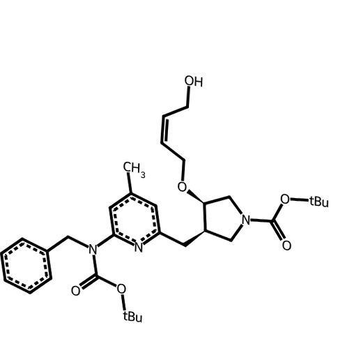 Cc1cc(C[C@@H]2CN(C(=O)OC(C)(C)C)C[C@@H]2OC/C=C\CO)nc(N(Cc2ccccc2)C(=O)OC(C)(C)C)c1